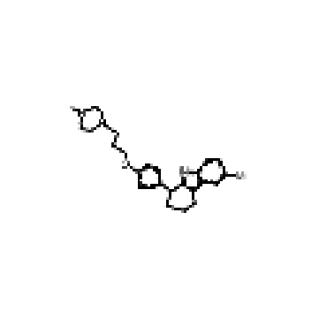 CN1CCN(CCCOc2ccc(C3CCCc4c3[nH]c3ccc(Br)cc43)cc2)CC1